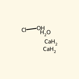 O.OCl.[CaH2].[CaH2]